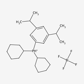 CC(C)c1cc(C(C)C)cc([PH+](C2CCCCC2)C2CCCCC2)c1.F[B-](F)(F)F